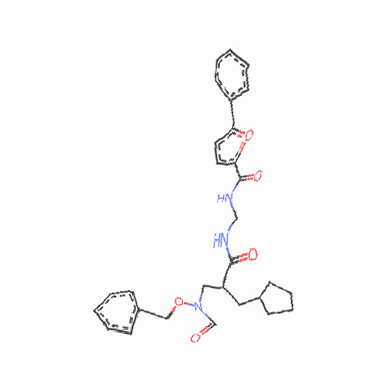 O=CN(CC(CC1CCCC1)C(=O)NCNC(=O)c1ccc(-c2ccccc2)o1)OCc1ccccc1